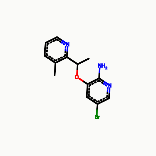 Cc1cccnc1C(C)Oc1cc(Br)cnc1N